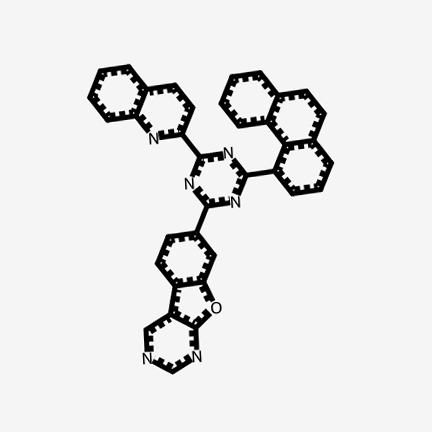 c1ccc2nc(-c3nc(-c4ccc5c(c4)oc4ncncc45)nc(-c4cccc5ccc6ccccc6c45)n3)ccc2c1